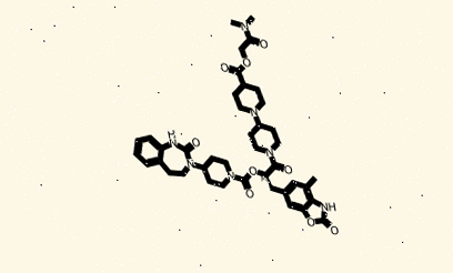 Cc1cc(C[C@@H](OC(=O)N2CCC(N3CCc4ccccc4NC3=O)CC2)C(=O)N2CCC(N3CCC(C(=O)OCC(=O)N(C)C)CC3)CC2)cc2oc(=O)[nH]c12